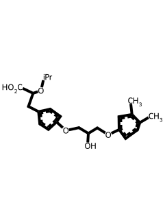 Cc1ccc(OCC(O)COc2ccc(CC(OC(C)C)C(=O)O)cc2)cc1C